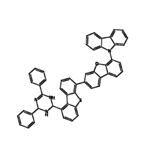 c1ccc(C2=NC(c3ccccc3)NC(c3cccc4sc5c(-c6ccc7c(c6)oc6c(-n8c9ccccc9c9ccccc98)cccc67)cccc5c34)N2)cc1